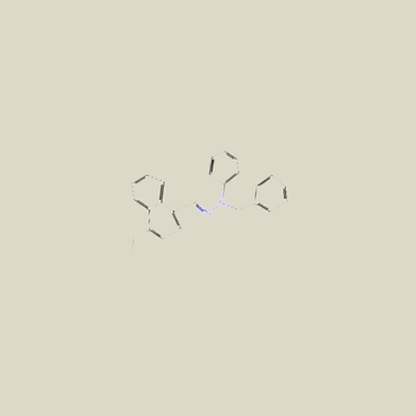 COc1ccc(C=NN(Cc2ccccc2)c2ccccc2)c2ccccc12